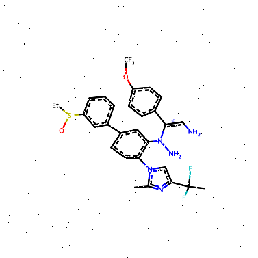 CC[S+]([O-])c1cccc(-c2ccc(-n3cc(C(C)(F)F)nc3C)c(N(N)/C(=C\N)c3ccc(OC(F)(F)F)cc3)c2)c1